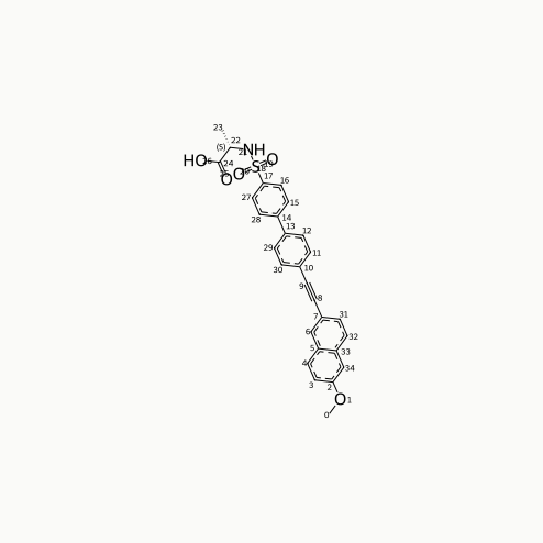 COc1ccc2cc(C#Cc3ccc(-c4ccc(S(=O)(=O)N[C@@H](C)C(=O)O)cc4)cc3)ccc2c1